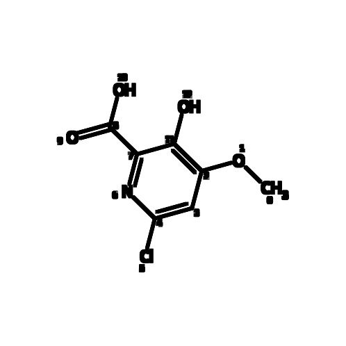 COc1cc(Cl)nc(C(=O)O)c1O